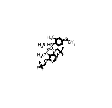 COc1ccc(NOSN(C)c2c(OCC(F)(F)F)ncnc2OCC(F)(F)F)c(C)c1.S